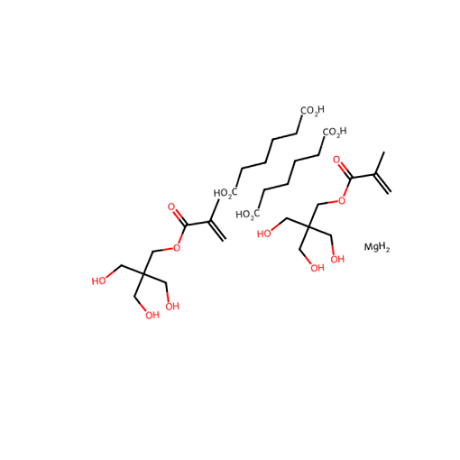 C=C(C)C(=O)OCC(CO)(CO)CO.C=C(C)C(=O)OCC(CO)(CO)CO.O=C(O)CCCCC(=O)O.O=C(O)CCCCC(=O)O.[MgH2]